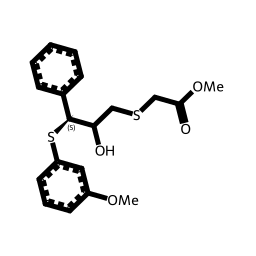 COC(=O)CSCC(O)[C@@H](Sc1cccc(OC)c1)c1ccccc1